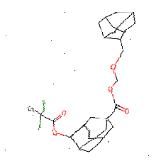 CCC(F)(F)C(=O)OC1C2CC3CC1CC(C(=O)OCOCC1C4CC5CC(C4)CC1C5)(C3)C2